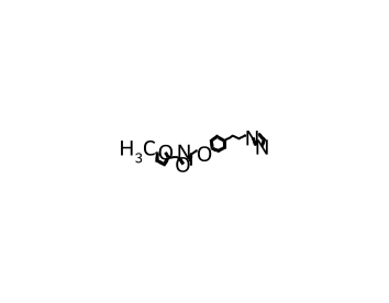 Cc1ccc(-c2nc(COc3ccc(CCCn4ccnc4)cc3)co2)o1